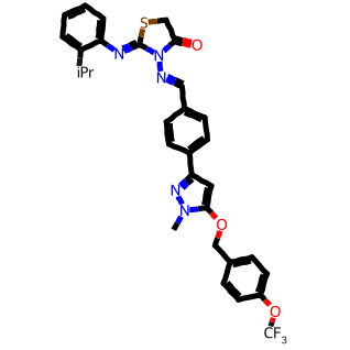 CC(C)c1ccccc1/N=C1\SCC(=O)N1/N=C/c1ccc(-c2cc(OCc3ccc(OC(F)(F)F)cc3)n(C)n2)cc1